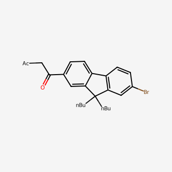 CCCCC1(CCCC)c2cc(Br)ccc2-c2ccc(C(=O)CC(C)=O)cc21